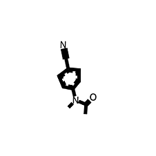 CC(=O)N(C)c1ccc(C#N)cc1